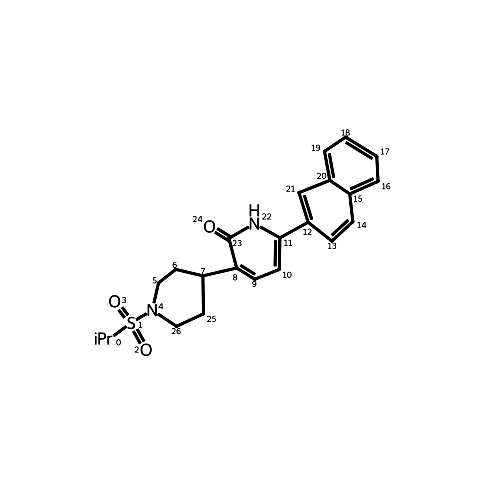 CC(C)S(=O)(=O)N1CCC(c2ccc(-c3ccc4ccccc4c3)[nH]c2=O)CC1